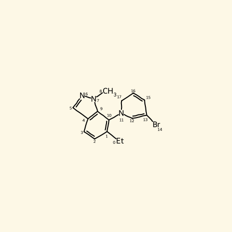 CCc1ccc2cnn(C)c2c1N1C=C(Br)C=CC1